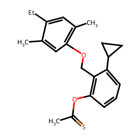 CCc1cc(C)c(OCc2c(OC(C)=S)cccc2C2CC2)cc1C